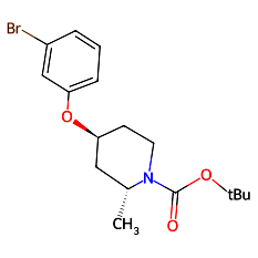 C[C@@H]1C[C@@H](Oc2cccc(Br)c2)CCN1C(=O)OC(C)(C)C